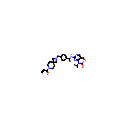 C=CC(=O)N1CCC2(CC1)CN(Cc1ccc(C(C)Nc3ncc4c(n3)N(C(C)C)C(=O)OC4)cc1)C2